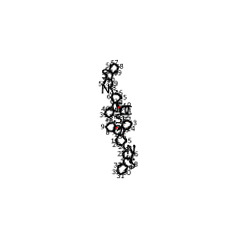 c1ccc([Si](c2ccccc2)(c2cccc3c2oc2ccc(-c4cc5c(cn4)sc4ccccc45)cc23)c2cccc3c2sc2ccc(-c4cc5c(cn4)sc4ccccc45)cc23)cc1